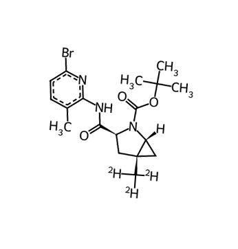 [2H]C([2H])([2H])[C@@]12C[C@@H](C(=O)Nc3nc(Br)ccc3C)N(C(=O)OC(C)(C)C)[C@@H]1C2